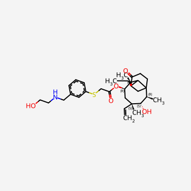 C=C[C@]1(C)C[C@@H](OC(=O)CSc2cccc(CNCCO)c2)[C@]2(C)C(C)CC34CC(CCC3=O)(C42)[C@@H](C)[C@@H]1O